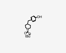 CC(C)(C)OC(=O)N1CCC(Cc2ccc(O)cc2)CC1